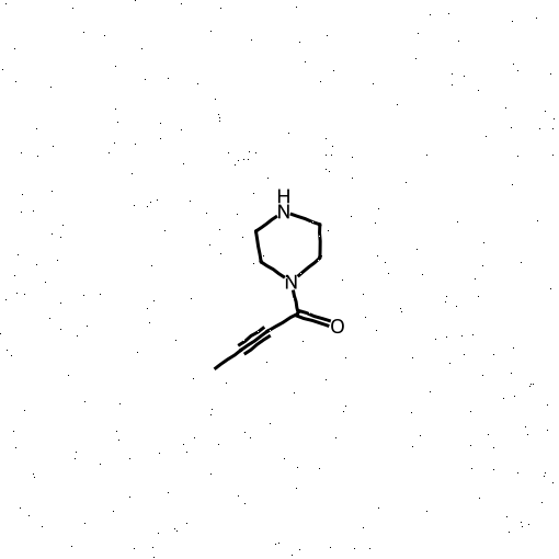 CC#CC(=O)N1CCNCC1